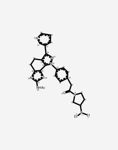 CCN(CC)C1CCN(C(=O)Cc2ccc(-n3nc(-c4cccnc4)c4c3-c3sc(NC(C)=O)nc3CC4)cc2)C1